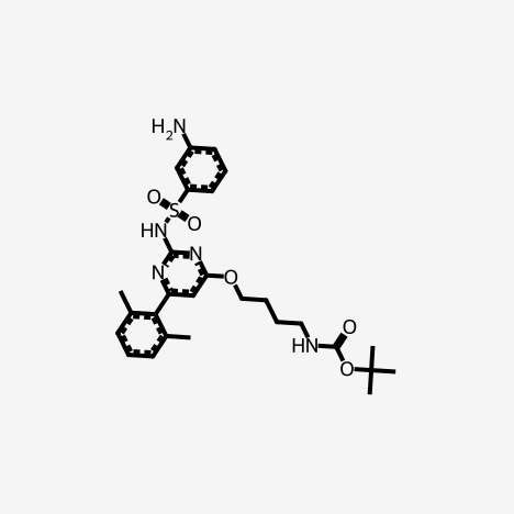 Cc1cccc(C)c1-c1cc(OCCCCNC(=O)OC(C)(C)C)nc(NS(=O)(=O)c2cccc(N)c2)n1